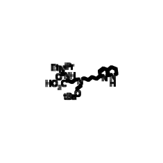 CCN(C(=O)NC(CCN(CCCCc1ccc2c(n1)NCCC2)CCOC(C)(C)C)C(=O)O)C(C)C